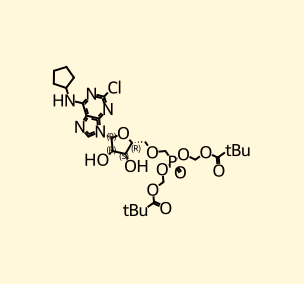 CC(C)(C)C(=O)OCOP(=O)(COC[C@H]1O[C@@H](n2cnc3c(NC4CCCC4)nc(Cl)nc32)[C@H](O)[C@@H]1O)OCOC(=O)C(C)(C)C